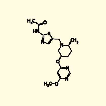 COc1cc(O[C@@H]2CC[C@H](C)N(Cc3cnc(NC(C)=O)s3)C2)ncn1